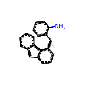 Nc1ccccc1/C=c1/cccc2c1=c1ccccc1=C2